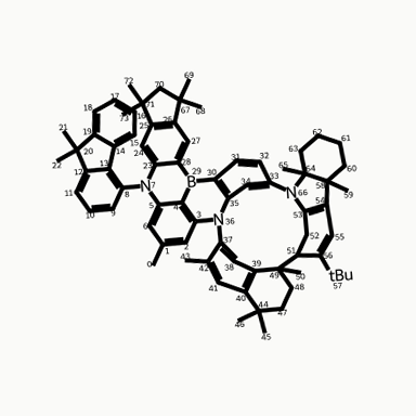 Cc1cc2c3c(c1)N(c1cccc4c1-c1ccccc1C4(C)C)c1cc4c(cc1B3c1ccc3cc1N2c1cc2c(cc1C)C(C)(C)CCC2(C)C1CC2=C(C=C1C(C)(C)C)C1(C)CCCCC1(C)N23)C(C)(C)CC4(C)C